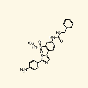 CC(C)(C)NS(=O)(=O)c1cc(NC(=O)NCc2ccccc2)ccc1-c1cnc(-c2ccc(N)cc2)s1